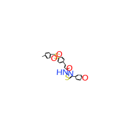 COc1ccc(-c2csc(NC(=O)/C=C/c3ccc(S(=O)(=O)Cc4ccc(C)cc4)cc3)n2)cc1